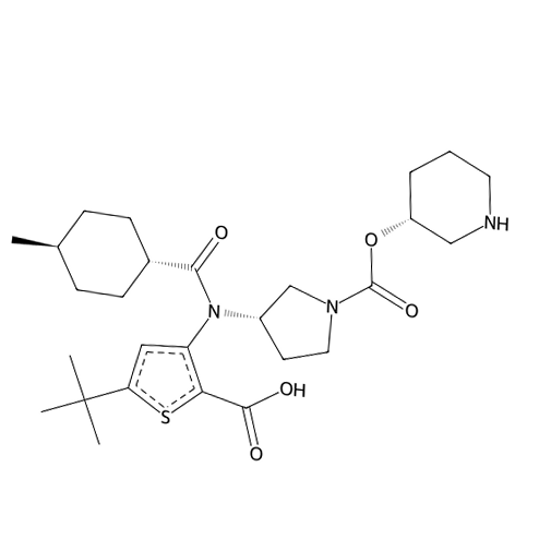 CC(C)(C)c1cc(N(C(=O)[C@H]2CC[C@H](C)CC2)[C@H]2CCN(C(=O)O[C@@H]3CCCNC3)C2)c(C(=O)O)s1